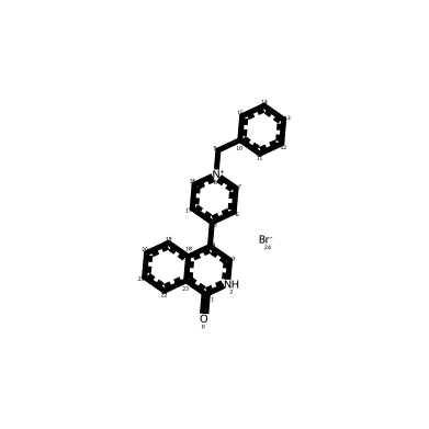 O=c1[nH]cc(-c2cc[n+](Cc3ccccc3)cc2)c2ccccc12.[Br-]